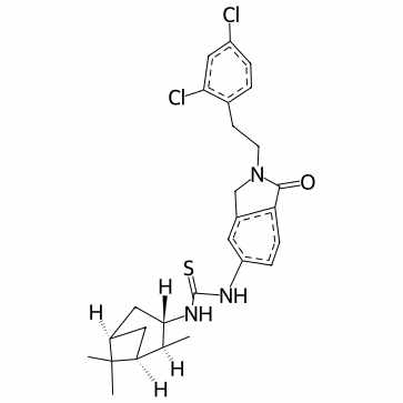 C[C@@H]1[C@@H](NC(=S)Nc2ccc3c(c2)CN(CCc2ccc(Cl)cc2Cl)C3=O)C[C@H]2C[C@@H]1C2(C)C